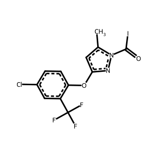 Cc1cc(Oc2ccc(Cl)cc2C(F)(F)F)nn1C(=O)I